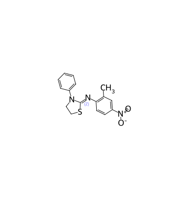 Cc1cc([N+](=O)[O-])ccc1/N=C1\SCCN1c1ccccc1